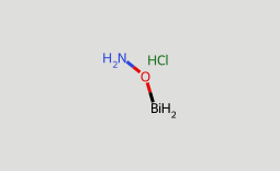 Cl.N[O][BiH2]